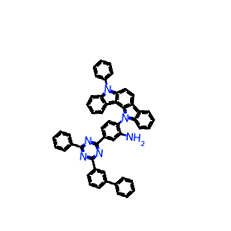 Nc1cc(-c2nc(-c3ccccc3)nc(-c3cccc(-c4ccccc4)c3)n2)ccc1-n1c2ccccc2c2ccc3c(c4ccccc4n3-c3ccccc3)c21